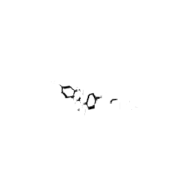 CCOC(=O)C(C)Oc1ccc(N(C)c2nnc3cc(Br)ccc3n2)cc1